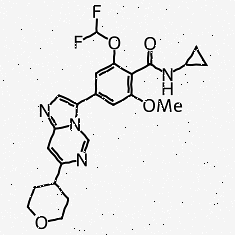 COc1cc(-c2cnc3cc(C4CCOCC4)ncn23)cc(OC(F)F)c1C(=O)NC1CC1